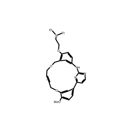 CCN(CC)CCOc1ccc2cc1COC/C=C/COc1cc(ccc1OC)-c1ccnc(n1)N2